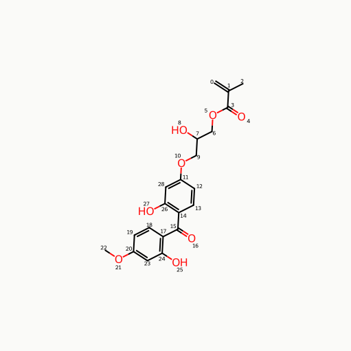 C=C(C)C(=O)OCC(O)COc1ccc(C(=O)c2ccc(OC)cc2O)c(O)c1